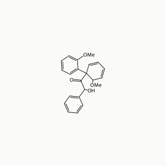 COc1ccccc1C1(C(=O)C(O)c2ccccc2)C=CC=CC1OC